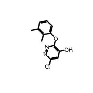 Cc1cccc(Oc2nnc(Cl)cc2O)c1C